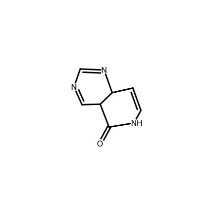 O=C1NC=CC2N=CN=CC12